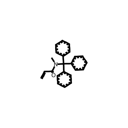 C=CC(=O)N(C)C(c1ccccc1)(c1ccccc1)c1ccccc1